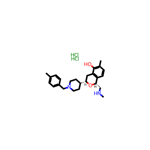 CNC[C@@H]1O[C@H](C2CCN(Cc3ccc(C)cc3)CC2)Cc2c1ccc(C)c2O.Cl.Cl